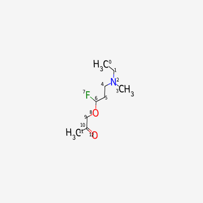 CCN(C)CCC(F)OCC(C)=O